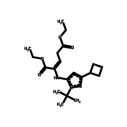 CCOC(=O)C/C=C(/Nc1cc(C2CCC2)nn1C(C)(C)C)C(=O)OCC